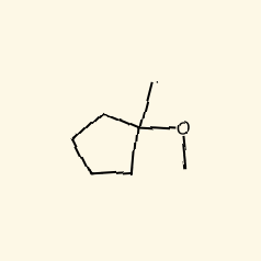 [CH2]C1(OC)CCCC1